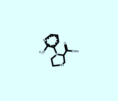 COC(=O)C1CNCCN1c1cccnc1[N+](=O)[O-]